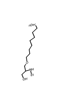 CCCCCCCCCCCCCCCCCCOCC(CO)NCC